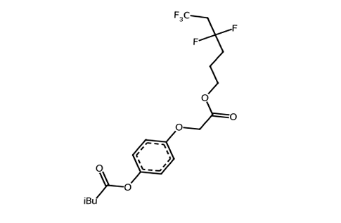 CCC(C)C(=O)Oc1ccc(OCC(=O)OCCCC(F)(F)CC(F)(F)F)cc1